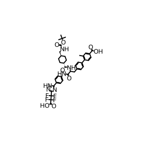 Cc1cc(C(=O)O)ccc1-c1ccc(CC(NC(=O)[C@H]2CC[C@H](CNC(=O)OC(C)(C)C)CC2)C(=O)Nc2ccc(-c3nc(C(F)(F)C(F)(F)C(=O)O)n[nH]3)cc2)cc1